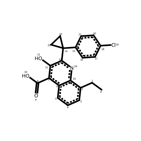 CCc1cccc2c(C(=O)O)c(O)c(C3(c4ccc(Cl)cc4)CC3)nc12